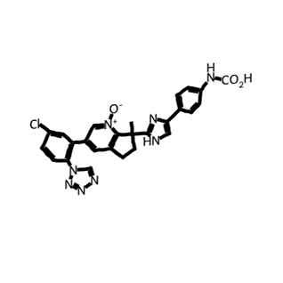 CC1(c2nc(-c3ccc(NC(=O)O)cc3)c[nH]2)CCc2cc(-c3cc(Cl)ccc3-n3cnnn3)c[n+]([O-])c21